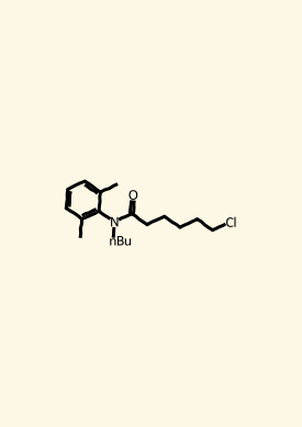 CCCCN(C(=O)CCCCCCl)c1c(C)cccc1C